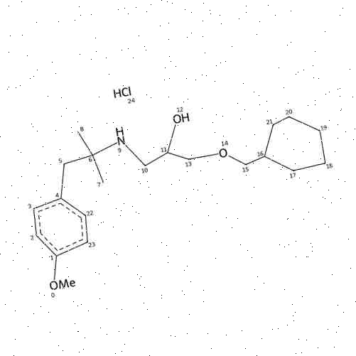 COc1ccc(CC(C)(C)NCC(O)COCC2CCCCC2)cc1.Cl